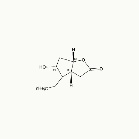 CCCCCCCCC1[C@H](O)C[C@@H]2OC(=O)C[C@H]12